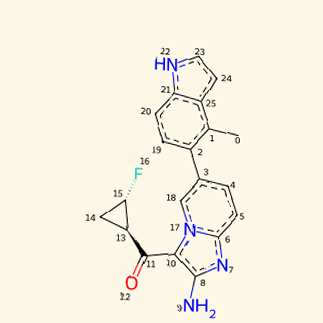 Cc1c(-c2ccc3nc(N)c(C(=O)[C@H]4C[C@@H]4F)n3c2)ccc2[nH]ccc12